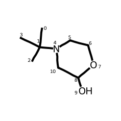 CC(C)(C)N1CCOC(O)C1